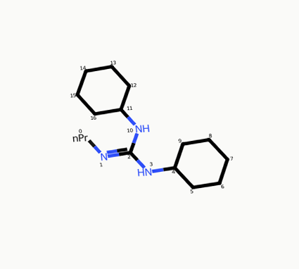 CCCN=C(NC1CCCCC1)NC1CCCCC1